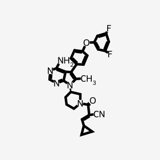 Cc1c(-c2ccc(Oc3cc(F)cc(F)c3)cc2)c2c(N)ncnc2n1[C@@H]1CCCN(C(=O)C(C#N)=CC2CC2)C1